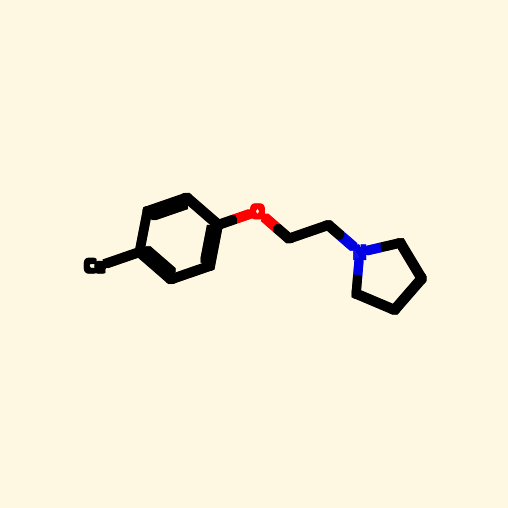 [Ce][c]1ccc(OCCN2CCCC2)cc1